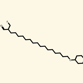 O=[C]C(CF)CCCCCCCCCCCCCCCCOC1CC[CH]CC1